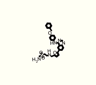 NCS(=O)(=O)CCNCc1ccc(-c2ccc3ncnc(Nc4ccc(OCc5ccccc5)cc4)c3c2)o1